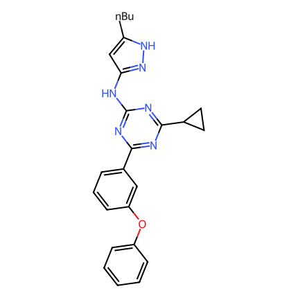 CCCCc1cc(Nc2nc(-c3cccc(Oc4ccccc4)c3)nc(C3CC3)n2)n[nH]1